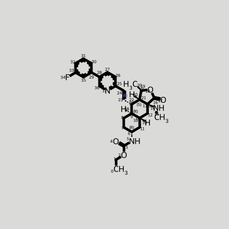 CCOC(=O)N[C@@H]1CC[C@@H]2[C@@H](C1)C[C@@]1(NC)C(=O)O[C@H](C)[C@H]1[C@H]2/C=C/c1ccc(-c2cccc(F)c2)cn1